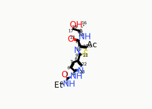 CCNC(=O)Nc1ccc(-c2nc(C(=O)N[C@@H](C)CO)c(C(C)=O)s2)cn1